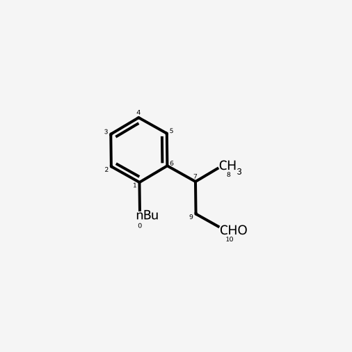 CCCCc1ccccc1C(C)CC=O